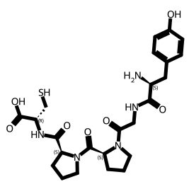 N[C@@H](Cc1ccc(O)cc1)C(=O)NCC(=O)N1CCC[C@H]1C(=O)N1CCC[C@H]1C(=O)N[C@@H](CS)C(=O)O